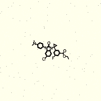 CCOC(=O)c1cc(F)cc(C2(n3c(=O)n(-c4ccc(N(C)C)cc4)c4cc(Cl)ccc43)CC2)c1